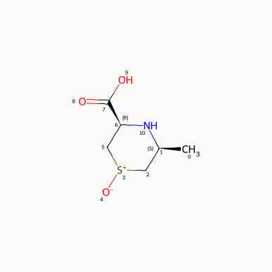 C[C@H]1C[S+]([O-])C[C@@H](C(=O)O)N1